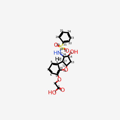 O=C(O)COc1cccc2c1OC1CC(O)C(NS(=O)(=O)c3ccccc3)[C@H]21